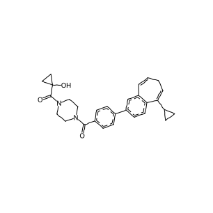 O=C(c1ccc(-c2ccc3c(c2)C=CCC=C3C2CC2)cc1)N1CCN(C(=O)C2(O)CC2)CC1